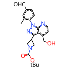 Cc1cc(C=O)ccc1-n1nc(C2CN(C(=O)OC(C)(C)C)C2)c2c(CO)ccnc21